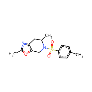 Cc1ccc(S(=O)(=O)N2Cc3oc(C)nc3CC2C)cc1